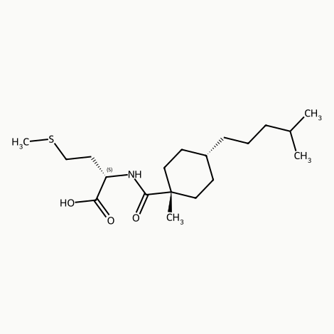 CSCC[C@H](NC(=O)[C@]1(C)CC[C@H](CCCC(C)C)CC1)C(=O)O